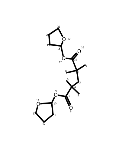 CC(C)(CC(C)(C)C(=O)OC1CCCO1)C(=O)OC1CCCO1